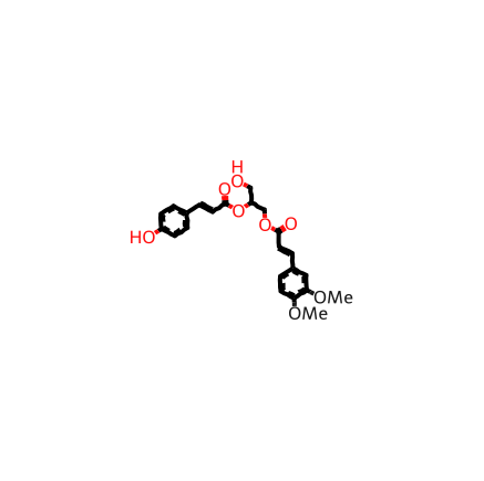 COc1ccc(/C=C/C(=O)OCC(CO)OC(=O)/C=C/c2ccc(O)cc2)cc1OC